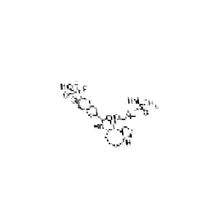 CS(=N)(=O)C1CN(C(=O)[C@@H]2CC[C@@H]3CCCC[C@H](NC(=O)c4cc5cc(C(F)(F)P(=O)(O)O)ccc5s4)C(=O)N32)C1